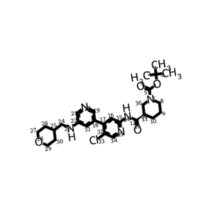 CC(C)(C)OC(=O)N1CCC[C@@H](C(=O)Nc2cc(-c3cncc(NCC4CCOCC4)c3)c(Cl)cn2)C1